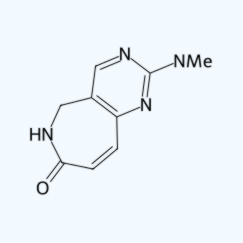 CNc1ncc2c(n1)C=CC(=O)NC2